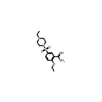 CCOc1ccc(S(=O)(=O)N2CCN(CC)CC2)cc1C(=N)N